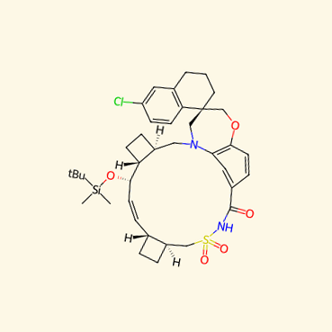 CC(C)(C)[Si](C)(C)O[C@H]1/C=C\[C@H]2CC[C@@H]2CS(=O)(=O)NC(=O)c2ccc3c(c2)N(C[C@@H]2CC[C@H]21)C[C@@]1(CCCc2cc(Cl)ccc21)CO3